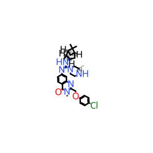 C[C@H]1[C@@H](NC(=Nc2ccc3c(=O)n(C)c(COc4ccc(Cl)cc4)nc3c2)N2CCN[C@@H](C)C2)C[C@@H]2C[C@@H]1C2(C)C